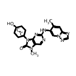 Cc1cc2ncnn2cc1Nc1ncc2c(n1)n(C13CCC(O)(CC1)CC3)c(=O)n2C